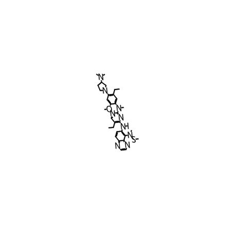 CCc1cc(N(C)c2ncc(CC)c(N(I)c3ccc4nccnc4c3N(C)SC)n2)c(OC)cc1N1CCC(N(C)C)C1